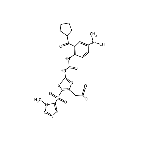 CN(C)c1ccc(NC(=O)Nc2nc(CC(=O)O)c(S(=O)(=O)c3nnnn3C)s2)c(C(=O)C2CCCC2)c1